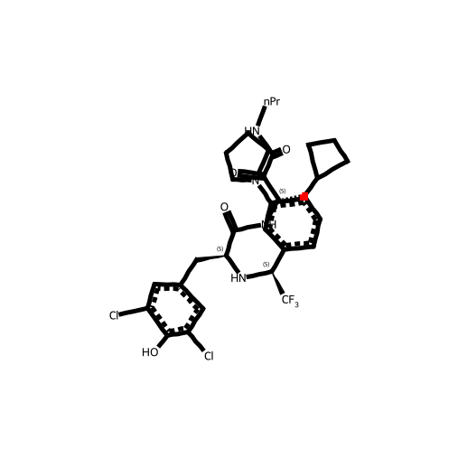 CCCNC(=O)C(=O)[C@H](CC1CCC1)NC(=O)[C@H](Cc1cc(Cl)c(O)c(Cl)c1)N[C@@H](c1cccc(N2CCCC2)c1)C(F)(F)F